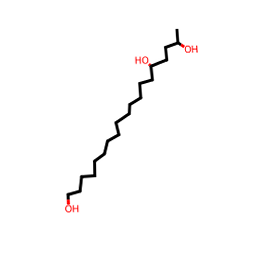 CC(O)CCC(O)CCCCCCCCCCCCCCO